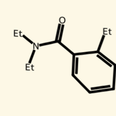 CCc1ccccc1C(=O)N(CC)CC